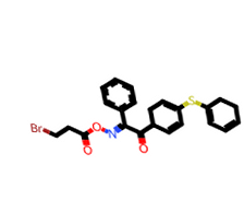 O=C(CCBr)O/N=C(/C(=O)C1C=CC(SC2=CC=CCC2)=CC1)c1ccccc1